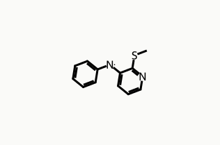 CSc1ncccc1[N]c1ccccc1